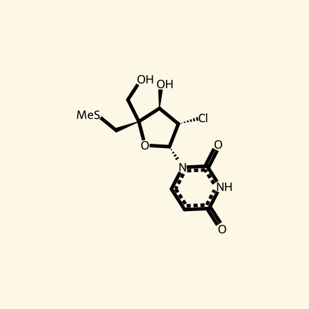 CSC[C@]1(CO)O[C@@H](n2ccc(=O)[nH]c2=O)[C@@H](Cl)[C@@H]1O